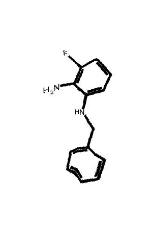 Nc1c(F)cccc1NCc1ccccc1